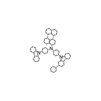 c1ccc(-c2ccc3c4ccccc4n(-c4ccc(N(c5ccc(-c6cccc7cccc(-c8ccccc8)c67)cc5)c5ccc(-n6c7ccccc7c7ccccc76)cc5)cc4)c3c2)cc1